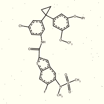 CC(C)Oc1cc(OC(F)(F)F)cc(C2(c3cc(Cl)cc(NC(=O)c4cc5cc(N(C)S(C)(=O)=O)c(F)cc5s4)c3)CC2)c1